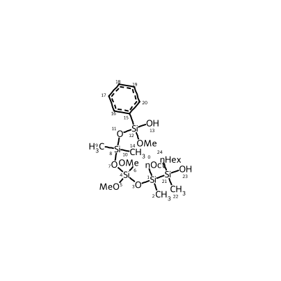 CCCCCCCC[Si](C)(O[Si](OC)(OC)O[Si](C)(C)O[Si](O)(OC)c1ccccc1)[Si](C)(O)CCCCCC